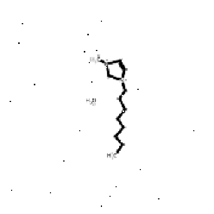 CCCCCCCCN1C=CN(C)C1.O